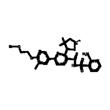 CCOCCOc1ncc(-c2ccc(C(=O)NS(=O)(=O)c3cccnc3N)c(N3C[C@@H](C)CC3(C)C)n2)cc1C